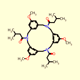 COc1cc2cc(c1)CN(C(=O)CC(C)C)Cc1cc(cc(OC)c1)CN(C(=O)CC(C)C)Cc1cc(cc(OC)c1)CN(C(=O)CC(C)C)C2